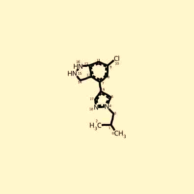 CC(C)Cn1cc(-c2cc(Cl)cc3c2CNN3)cn1